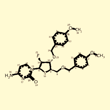 COc1ccc(COC[C@H]2SC(n3ccc(N)nc3=O)[C@@H](F)[C@@H]2OCc2ccc(OC)cc2)cc1